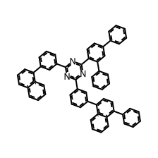 c1ccc(-c2ccc(-c3nc(-c4cccc(-c5cccc6ccccc56)c4)nc(-c4cccc(-c5ccc(-c6ccccc6)c6ccccc56)c4)n3)c(-c3ccccc3)c2)cc1